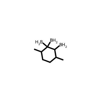 BC1C(C)CCC(C)C1(B)B